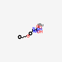 CC(C)(C)OC(=O)NC(C)(CO)c1ncc(-c2ccc(OCCCCc3ccccc3)cc2)[nH]1